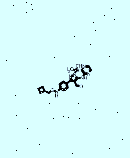 CC(C)(C)n1nc(-c2ccc(NSCC3CCC3)cc2)c(C=O)c1Nc1cnccn1